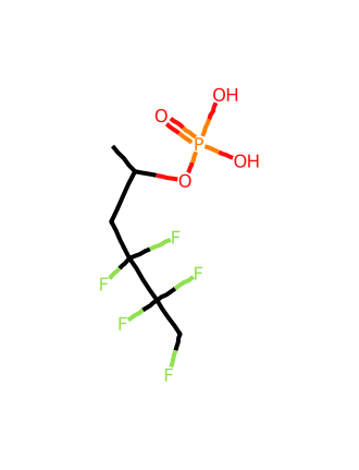 CC(CC(F)(F)C(F)(F)CF)OP(=O)(O)O